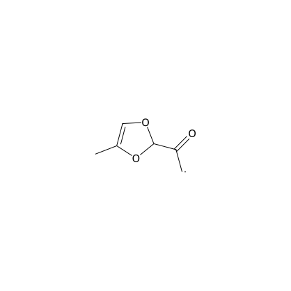 [CH2]C(=O)C1OC=C(C)O1